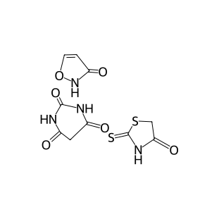 O=C1CC(=O)NC(=O)N1.O=C1CSC(=S)N1.O=c1cco[nH]1